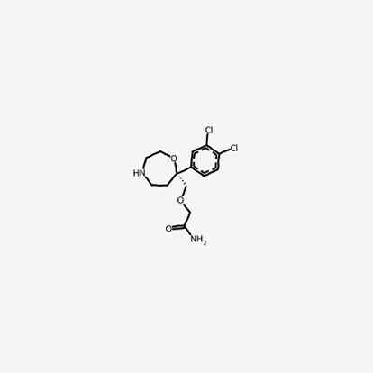 NC(=O)COC[C@]1(c2ccc(Cl)c(Cl)c2)CCNCCO1